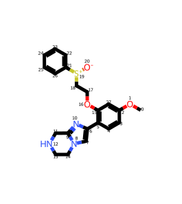 COc1ccc(-c2cn3c(n2)CNCC3)c(OCC[S+]([O-])c2ccccc2)c1